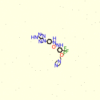 CNc1ncnc2c1ncn2-c1ccc(NC(=O)Nc2ccc(OCCN3CCN(C)CC3)c(C(F)(F)F)c2)cc1